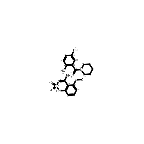 NC1=NS(=O)(=O)Nc2cccc(OC[C@H]3CCCCN3C(=O)c3cc(O)ccc3O)c21